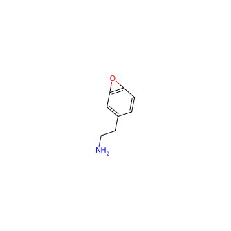 NCCc1ccc2c(c1)O2